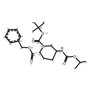 CC(C)OC(=O)NC1CC[C@H](C(=O)OCc2ccccc2)N(C(=O)OC(C)(C)C)C1